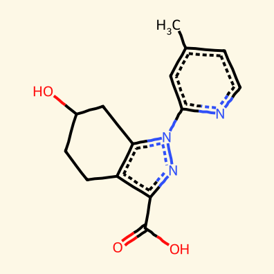 Cc1ccnc(-n2nc(C(=O)O)c3c2CC(O)CC3)c1